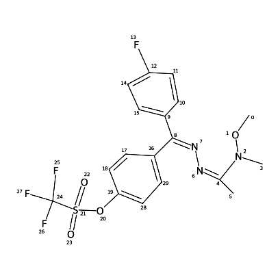 CON(C)C(C)=NN=C(c1ccc(F)cc1)c1ccc(OS(=O)(=O)C(F)(F)F)cc1